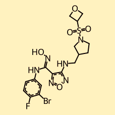 O=S(=O)(C1COC1)N1CCC(CNc2nonc2/C(=N/O)Nc2ccc(F)c(Br)c2)C1